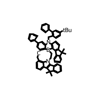 CC(C)(C)c1ccc(CN2c3cc(-c4ccccc4)cc4c3B(CCn3c5c(c6cccc(c63)CC4)C(C)(C)c3ccccc3-5)c3c2ccc2c3-c3ccccc3C2(C)C)c(-c2ccccc2)c1